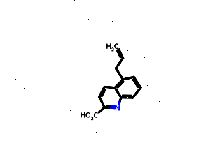 C=CCc1cccc2nc(C(=O)O)ccc12